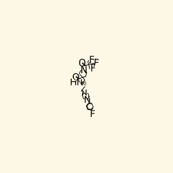 CC(C)(C(=O)N1CCC2(CC1)C[C@H](CCN1CCN(c3ccc(F)cc3)CC1)NC2=O)C(F)(F)F